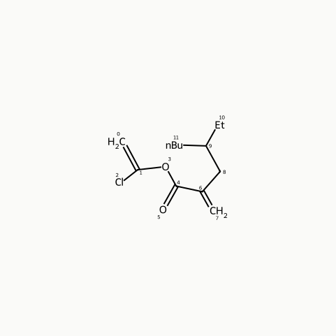 C=C(Cl)OC(=O)C(=C)CC(CC)CCCC